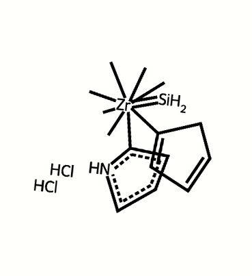 Cl.Cl.[CH3][Zr]([CH3])([CH3])([CH3])([CH3])([CH3])(=[SiH2])([C]1=CC=CC1)[c]1ccc[nH]1